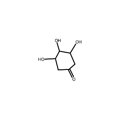 O=C1CC(O)C(O)C(O)C1